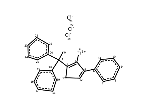 CC(C1=[C]([Ti+3])C(c2ccccc2)=CC1)(c1ccccc1)c1ccccc1.[Cl-].[Cl-].[Cl-]